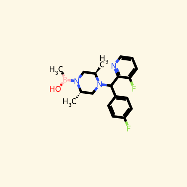 CB(O)N1C[C@@H](C)N(C(c2ccc(F)cc2)c2ncccc2F)C[C@@H]1C